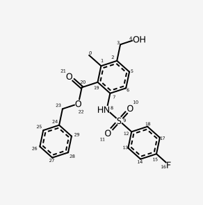 Cc1c(CO)ccc(NS(=O)(=O)c2ccc(F)cc2)c1C(=O)OCc1ccccc1